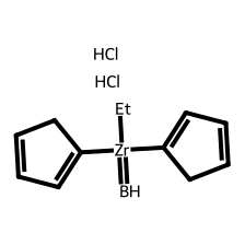 Cl.Cl.[BH]=[Zr]([CH2]C)([C]1=CC=CC1)[C]1=CC=CC1